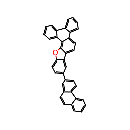 c1ccc2c(c1)ccc1cc(-c3ccc4oc5c(ccc6c7ccccc7c7ccccc7c65)c4c3)ccc12